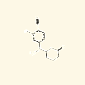 CN(c1ccc(C#N)c(Cl)c1)C1CCCC(=O)C1